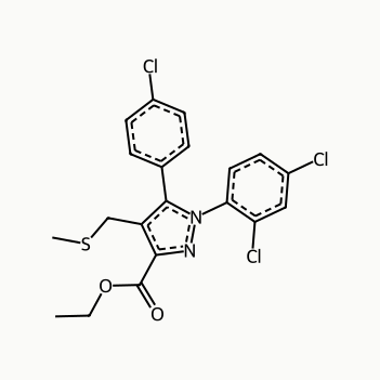 CCOC(=O)c1nn(-c2ccc(Cl)cc2Cl)c(-c2ccc(Cl)cc2)c1CSC